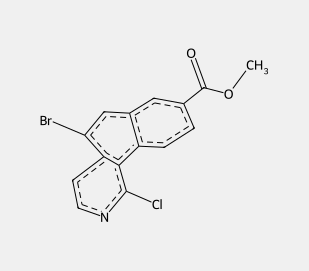 COC(=O)c1ccc2c(c1)cc(Br)c1ccnc(Cl)c12